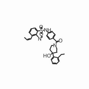 C=Nc1c(/C=C\C)cccc1S(=O)(=O)Nc1ccc(C(=O)N2CCC(O)(c3ccccc3CC)CC2)cc1